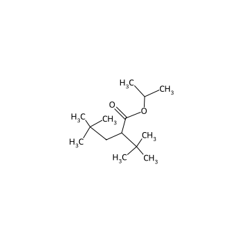 CC(C)OC(=O)C(CC(C)(C)C)C(C)(C)C